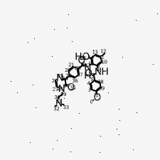 COc1ccc(C(=O)Nc2cc(C)cc(O)c2NC(=O)c2ccc(-c3nccn(CCN(C)C)c3=O)cc2)cc1